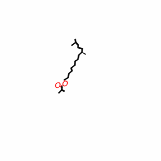 CC(C)CCC[C@@H](C)CCCCCCCCCOC(=O)C(C)C